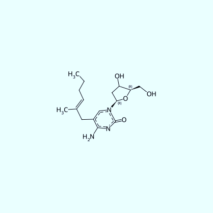 CCCC=C(C)Cc1cn([C@H]2CC(O)[C@@H](CO)O2)c(=O)nc1N